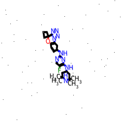 CC1(C)CC(Nc2nc(NC3C=CC4=C(C3)n3nnnc3C3(CCC3)O4)ncc2F)CC(C)(C)N1